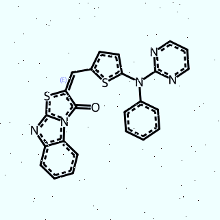 O=c1/c(=C\c2ccc(N(c3ccccc3)c3ncccn3)s2)sc2nc3ccccc3n12